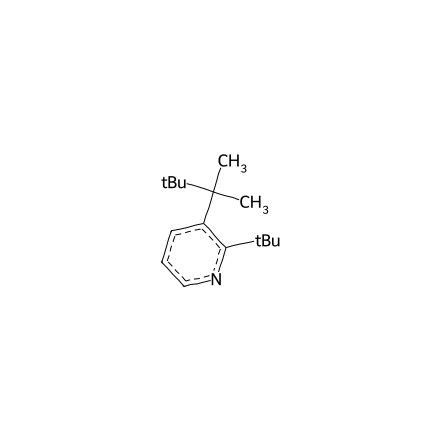 CC(C)(C)c1ncccc1C(C)(C)C(C)(C)C